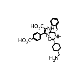 NC[C@H]1CC[C@H](C(=O)N[C@@H](Cc2ccccc2)c2nc(-c3ccc(C(=O)O)cc3)c(C(=O)O)[nH]2)CC1